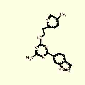 Nc1nc(NCCc2ccc(C(F)(F)F)cn2)nc(-c2ccc3cn[nH]c3c2)n1